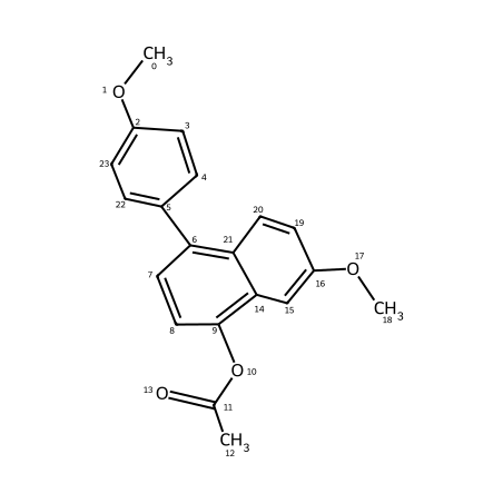 COc1ccc(-c2ccc(OC(C)=O)c3cc(OC)ccc23)cc1